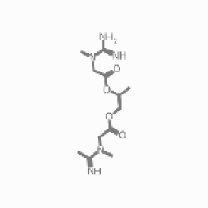 CC(=N)N(C)CC(=O)OCC(C)OC(=O)CN(C)C(=N)N